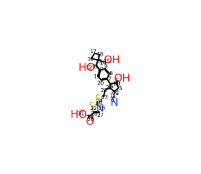 N#C[C@@H]1C[C@@H](O)C(c2ccc(C(O)C3(CO)CCC3)cc2)C1CCSc1ncc(C(=O)O)s1